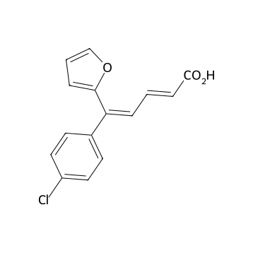 O=C(O)C=CC=C(c1ccc(Cl)cc1)c1ccco1